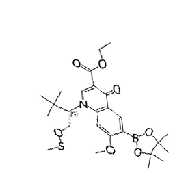 CCOC(=O)c1cn([C@H](COSC)C(C)(C)C)c2cc(OC)c(B3OC(C)(C)C(C)(C)O3)cc2c1=O